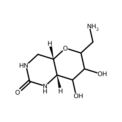 NCC1O[C@H]2CNC(=O)N[C@H]2C(O)C1O